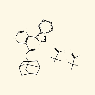 O=C(NC12CC3CC(CC(C3)C1)C2)C1=C(c2ncn3ccccc23)[C+]=CNC1.O=C(O)C(F)(F)F.O=C([O-])C(F)(F)F